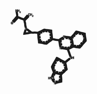 C=C(C(N)=O)N1CC1c1ccc(-c2nc(Nc3ccc4[nH]ncc4c3)c3ccccc3n2)cc1